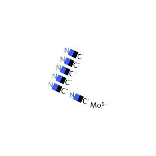 [C-]#N.[C-]#N.[C-]#N.[C-]#N.[C-]#N.[C-]#N.[Mo+6]